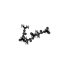 N#Cc1cc(C#N)cc(-c2ccc(-c3ccc(-c4ccc(-c5nc(-c6ccccc6)nc(-c6cccc(-c7c(C#N)cc(-c8ccc(-c9cccc(-c%10nc(-c%11ccccc%11)nc(-c%11ccc(-c%12c(C#N)cc(-c%13ccc(-c%14ccc(-c%15nc(-c%16ccccc%16)nc(-c%16ccccc%16)n%15)cc%14)c%14ccccc%13%14)cc%12C#N)cc%11)n%10)c9)c9ccccc89)cc7C#N)c6)n5)cc4)c4ccccc34)cc2)c1